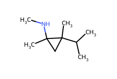 CNC1(C)CC1(C)C(C)C